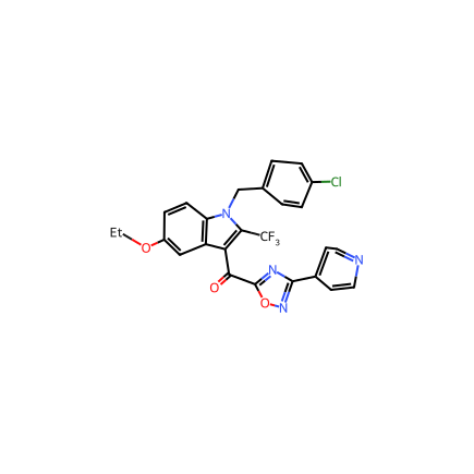 CCOc1ccc2c(c1)c(C(=O)c1nc(-c3ccncc3)no1)c(C(F)(F)F)n2Cc1ccc(Cl)cc1